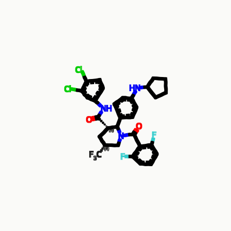 O=C(Nc1ccc(Cl)c(Cl)c1)[C@H]1C[C@@H](C(F)(F)F)CN(C(=O)c2c(F)cccc2F)C1c1ccc(NC2CCCC2)cc1